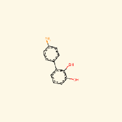 Oc1cccc(-c2ccc(P)cc2)c1O